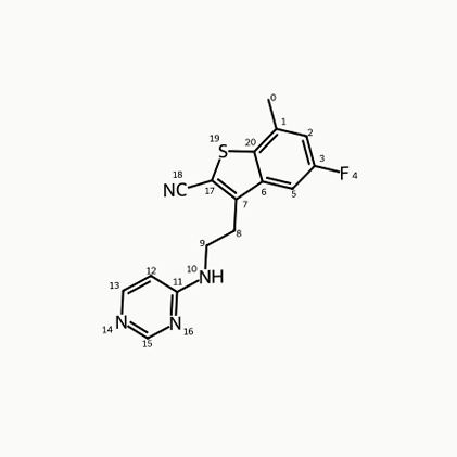 Cc1cc(F)cc2c(CCNc3ccncn3)c(C#N)sc12